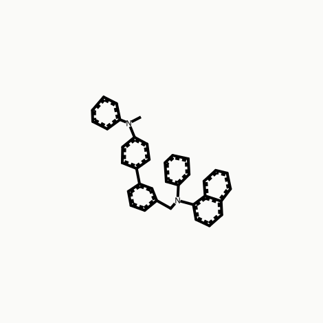 CN(c1ccccc1)c1ccc(-c2cccc(CN(c3ccccc3)c3cccc4ccccc34)c2)cc1